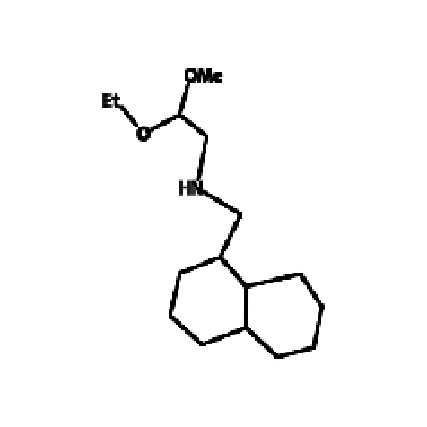 CCOC(CNCC1CCCC2CCCCC21)OC